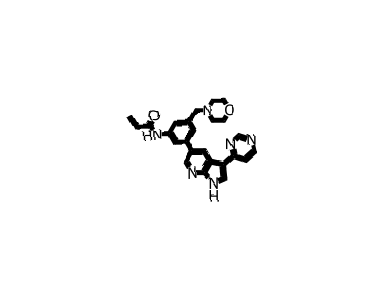 C=CC(=O)Nc1cc(CN2CCOCC2)cc(-c2cnc3[nH]cc(-c4ccncn4)c3c2)c1